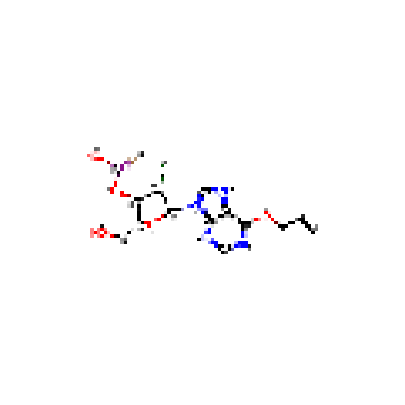 C=CCOc1ncnc2c1ncn2C1O[C@H](CO)[C@@H](O[PH](O)=S)[C@H]1F